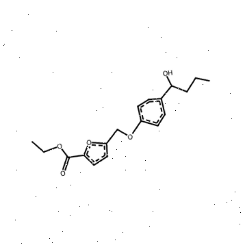 CCCC(O)c1ccc(OCc2ccc(C(=O)OCC)o2)cc1